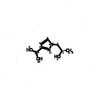 C[C@H](O)Cn1ccc(B(O)O)n1